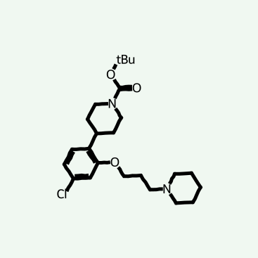 CC(C)(C)OC(=O)N1CCC(c2ccc(Cl)cc2OCCCN2CCCCC2)CC1